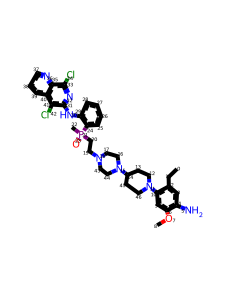 CCc1cc(N)c(OC)cc1N1CCC(N2CCN(CCP(C)(=O)c3ccccc3Nc3nc(Cl)c4ncccc4c3Cl)CC2)CC1